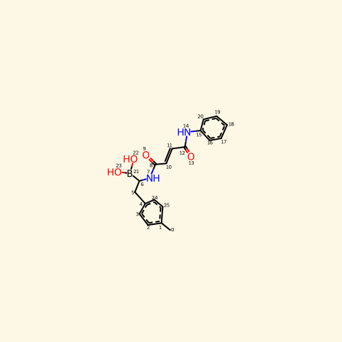 Cc1ccc(CC(NC(=O)C=CC(=O)Nc2ccccc2)B(O)O)cc1